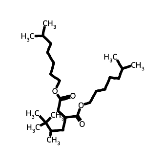 CC(C)CCCCCOC(=O)CC(CC(C)C(C)(C)C)C(=O)OCCCCCC(C)C